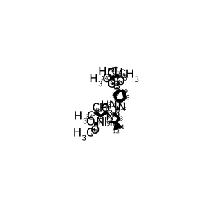 COC(=O)N[C@H](C(=O)N1CC2(CC2)C[C@H]1c1nc2ccc(B3OC(C)(C)C(C)(C)O3)cc2[nH]1)C(C)C